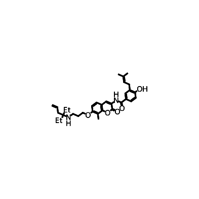 C=CCC(CC)(CC)NCCCOc1ccc2cc(NC(=O)c3ccc(O)c(CC=C(C)C)c3)c(=O)oc2c1C